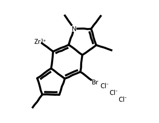 CC1=CC2=C(Br)C3C(C)=C(C)N(C)C3=[C]([Zr+3])C2=C1.[Cl-].[Cl-].[Cl-]